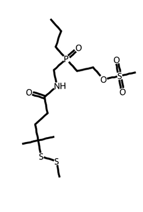 CCCP(=O)(CCOS(C)(=O)=O)CNC(=O)CCC(C)(C)SSC